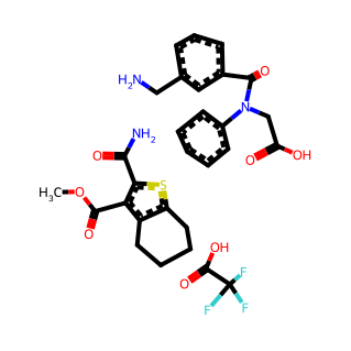 COC(=O)c1c(C(N)=O)sc2c1CCCC2.NCc1cccc(C(=O)N(CC(=O)O)c2ccccc2)c1.O=C(O)C(F)(F)F